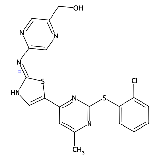 Cc1cc(-c2c[nH]/c(=N/c3cnc(CO)cn3)s2)nc(Sc2ccccc2Cl)n1